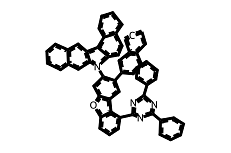 c1ccc(-c2nc(-c3ccccc3)nc(-c3cccc4oc5cc(-n6c7cc8ccccc8cc7c7c8ccccc8ccc76)c(-c6ccc7ccccc7c6)cc5c34)n2)cc1